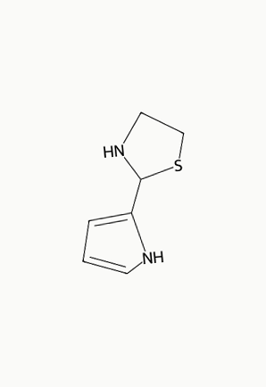 c1c[nH]c(C2NCCS2)c1